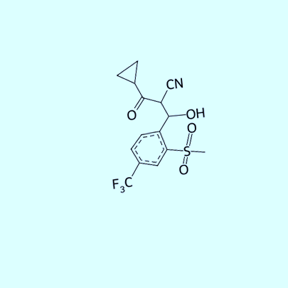 CS(=O)(=O)c1cc(C(F)(F)F)ccc1C(O)C(C#N)C(=O)C1CC1